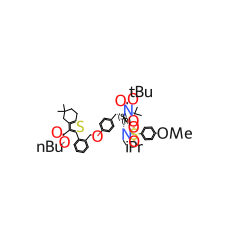 CCCCOC(=O)c1c(-c2ccccc2COc2ccc(C[C@H]3[C@@H](CN(CC(C)C)S(=O)(=O)c4ccc(OC)cc4)OC(C)(C)N3C(=O)OC(C)(C)C)cc2)sc2c1CC(C)(C)CC2